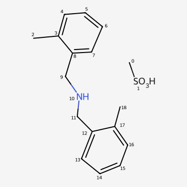 CS(=O)(=O)O.Cc1ccccc1CNCc1ccccc1C